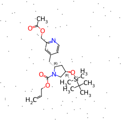 C=CCOC(=O)N1C[C@H](O[Si](C)(C)C(C)(C)C)C[C@H]1Cc1ccnc(COC(C)=O)c1